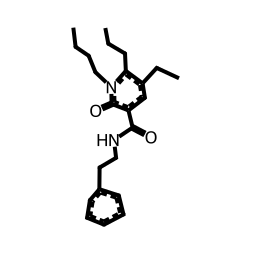 CCCCn1c(CCC)c(CC)cc(C(=O)NCCc2ccccc2)c1=O